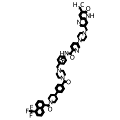 CCc1cc2ncc(CN3CCN(c4ccc(C(=O)NC56CCC(CN7CCN(C(=O)c8ccc(C9CCN(C(=O)c%10cccc%11c(C(F)(F)F)cccc%10%11)CC9)cc8)CC7)(CC5)OC6)nc4)CC3)cc2[nH]c1=O